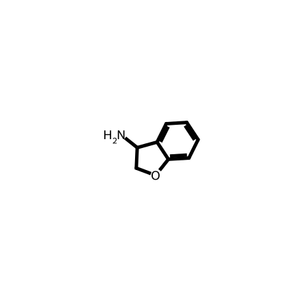 NC1COc2ccccc21